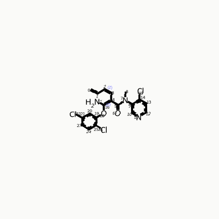 C=C/C=C\C(C(=O)N(C)c1cnccc1Cl)=C(/N)Oc1cc(Cl)ccc1Cl